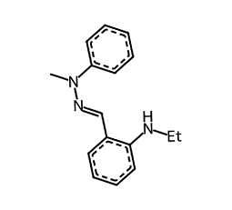 CCNc1ccccc1C=NN(C)c1ccccc1